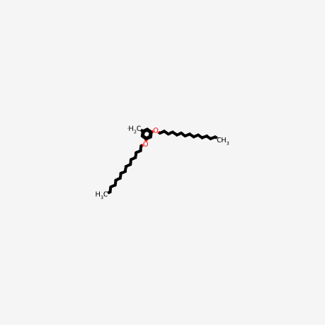 [CH2]c1cc(OCCCCCCCCCCCCCCC)cc(OCCCCCCCCCCCCCCC)c1